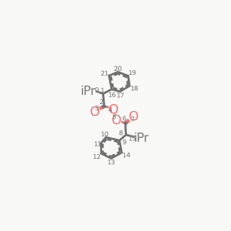 CC(C)C(C(=O)OOC(=O)C(c1ccccc1)C(C)C)c1ccccc1